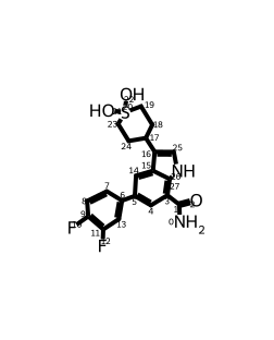 NC(=O)c1cc(-c2ccc(F)c(F)c2)cc2c(C3CCS(O)(O)CC3)c[nH]c12